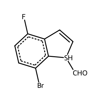 O=C[SH]1C=Cc2c(F)ccc(Br)c21